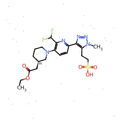 CCOC(=O)C[C@H]1CCCN(c2ccc(-c3nnn(C)c3CCS(=O)(=O)O)nc2C(F)F)C1